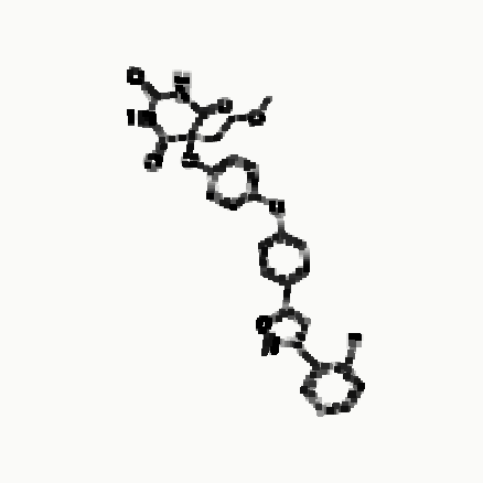 COCCC1(Oc2ccc(Oc3ccc(-c4cc(-c5ccccc5F)no4)cc3)cc2)C(=O)NC(=O)NC1=O